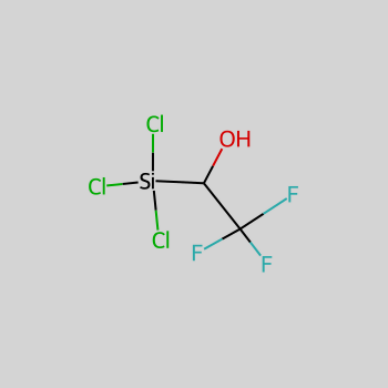 OC(C(F)(F)F)[Si](Cl)(Cl)Cl